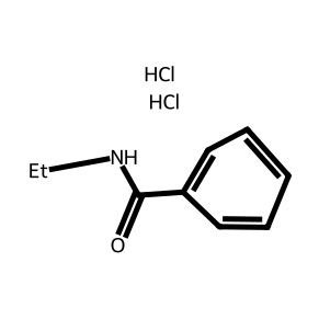 CCNC(=O)c1ccccc1.Cl.Cl